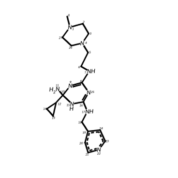 CN1CCN(CCNC2=NC(N)(C3CC3)NC(NCc3ccncc3)=N2)CC1